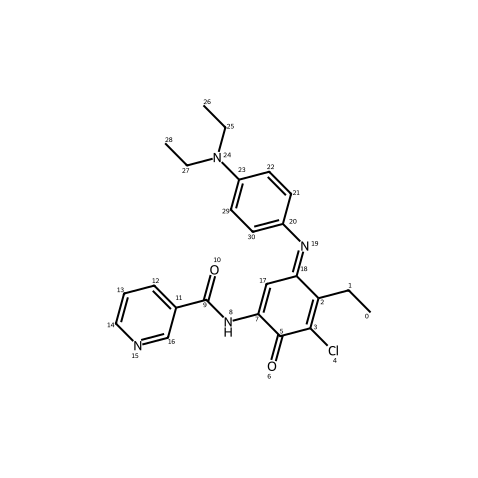 CCC1=C(Cl)C(=O)C(NC(=O)c2cccnc2)=CC1=Nc1ccc(N(CC)CC)cc1